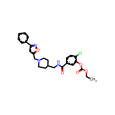 CCOC(=O)Oc1cc(C(=O)NCC2CCN(Cc3cc(-c4ccccc4)no3)CC2)ccc1Cl